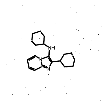 c1ccn2c(NC3CCCCC3)c(C3CCCCC3)nc2c1